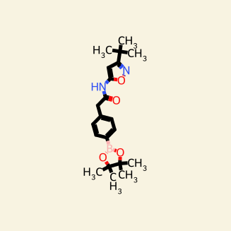 CC(C)(C)c1cc(NC(=O)Cc2ccc(B3OC(C)(C)C(C)(C)O3)cc2)on1